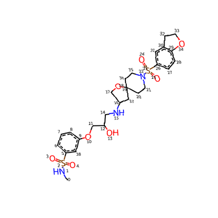 CNS(=O)(=O)c1cccc(OCC(O)CNC2COC3(CCN(S(=O)(=O)c4ccc5c(c4)CCO5)CC3)C2)c1